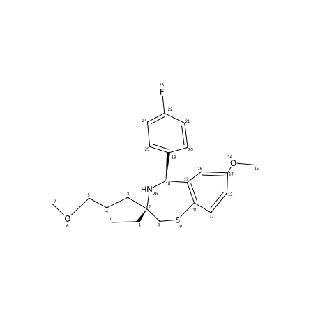 CC[C@]1(CCCOC)CSc2ccc(OC)cc2[C@H](c2ccc(F)cc2)N1